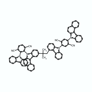 CC(C)(Cc1cccc2c1c1ccccc1n2-c1cc(C#N)c(-n2c3ccccc3c3c4ccccc4ccc32)cc1C#N)c1ccc2c(c1)c1c3ccccc3ccc1n2-c1c(C#N)ccc(C#N)c1-n1c2ccccc2c2ccccc21